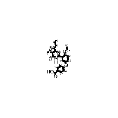 CCCc1nn(C)c2c(=O)[nH]c(-c3cc(Oc4ccc(C(=O)O)cc4)ccc3OCC)nc12